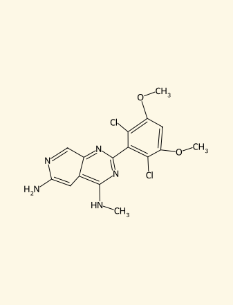 CNc1nc(-c2c(Cl)c(OC)cc(OC)c2Cl)nc2cnc(N)cc12